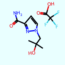 CC(C)(O)Cn1ccc(C(N)=O)n1.O=C(O)C(F)(F)F